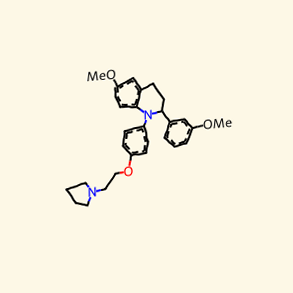 COc1cccc(C2CCc3cc(OC)ccc3N2c2ccc(OCCN3CCCC3)cc2)c1